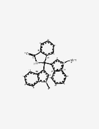 CCCCCCCCn1cc(C2(c3cn(C)c4ccccc34)OC(=O)c3ccccc32)c2ccccc21